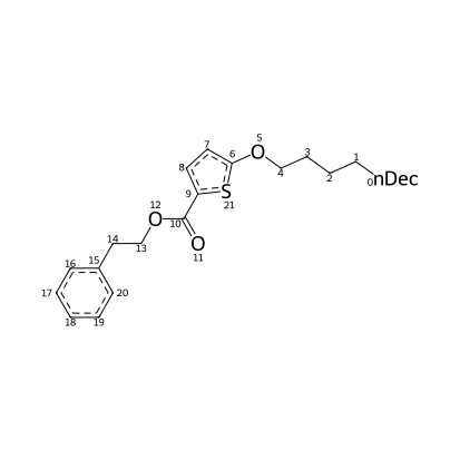 CCCCCCCCCCCCCCOc1ccc(C(=O)OCCc2ccccc2)s1